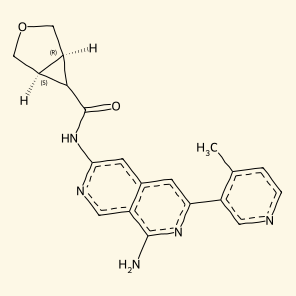 Cc1ccncc1-c1cc2cc(NC(=O)C3[C@H]4COC[C@@H]34)ncc2c(N)n1